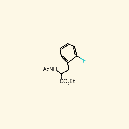 CCOC(=O)C(Cc1ccccc1F)NC(C)=O